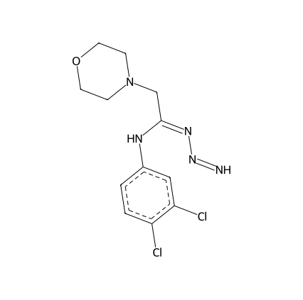 N=N/N=C(/CN1CCOCC1)Nc1ccc(Cl)c(Cl)c1